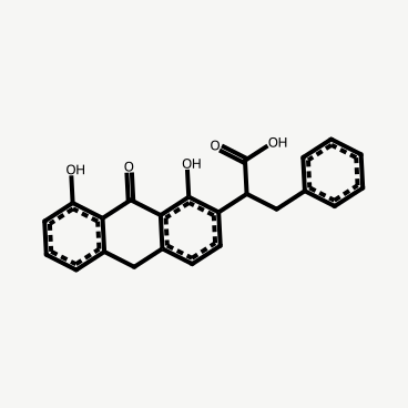 O=C1c2c(O)cccc2Cc2ccc(C(Cc3ccccc3)C(=O)O)c(O)c21